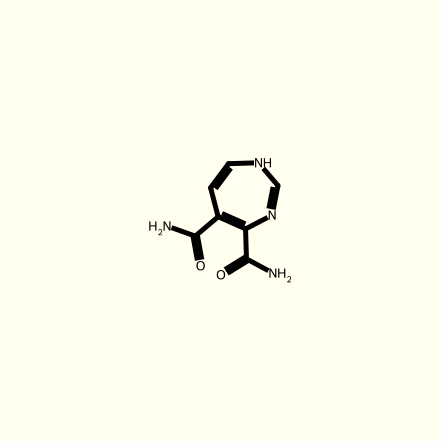 NC(=O)C1=C(C(N)=O)N=CNC=C1